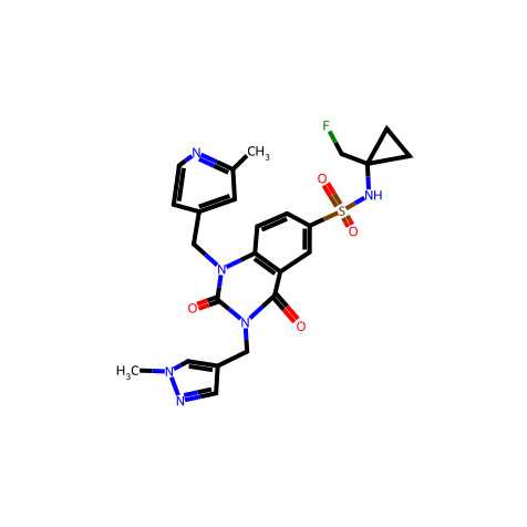 Cc1cc(Cn2c(=O)n(Cc3cnn(C)c3)c(=O)c3cc(S(=O)(=O)NC4(CF)CC4)ccc32)ccn1